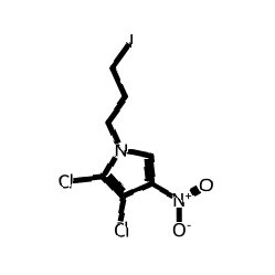 O=[N+]([O-])c1cn(CCCI)c(Cl)c1Cl